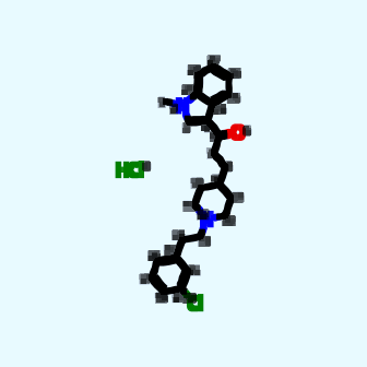 Cl.Cn1cc(C(=O)CCC2CCN(CCc3cccc(Cl)c3)CC2)c2ccccc21